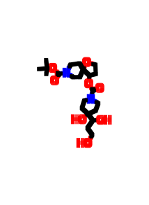 CC(C)(C)OC(=O)N1CCC2(CC1)OCCC2OC(=O)N1CCC(O)(C(O)CCO)CC1